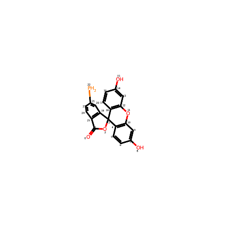 O=C1OC2(c3ccc(O)cc3Oc3cc(O)ccc32)c2cc(P)ccc21